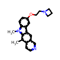 Cc1c2ccncc2cc2c3cc(OCCN4CCC4)ccc3n(C)c12